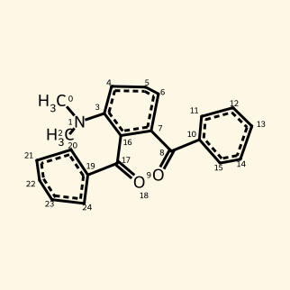 CN(C)c1cccc(C(=O)c2ccccc2)c1C(=O)c1ccccc1